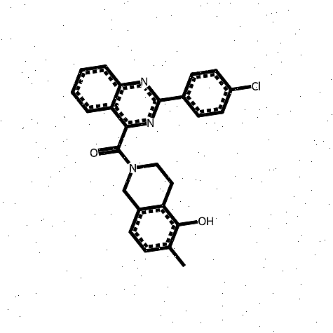 Cc1ccc2c(c1O)CCN(C(=O)c1nc(-c3ccc(Cl)cc3)nc3ccccc13)C2